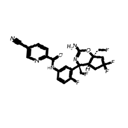 N#Cc1ccc(C(=O)Nc2ccc(F)c([C@]3(CF)N=C(N)O[C@@]4(CF)CC(F)(F)C[C@H]43)c2)nc1